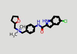 C[N+](C)(Cc1ccc(NC(=O)c2cc3cc(Cl)ccc3[nH]2)cc1)CC1CCCO1